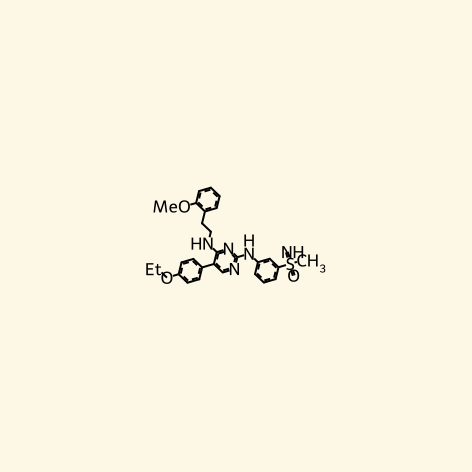 CCOc1ccc(-c2cnc(Nc3cccc(S(C)(=N)=O)c3)nc2NCCc2ccccc2OC)cc1